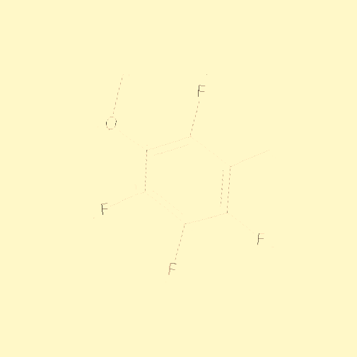 COc1c(F)c(C)c(F)c(F)c1F